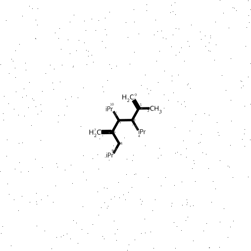 C=C(C)C(C(C)C)C(C(=C)CC(C)C)C(C)C